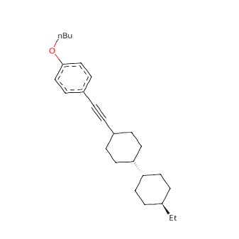 CCCCOc1ccc(C#CC2CCC([C@H]3CC[C@H](CC)CC3)CC2)cc1